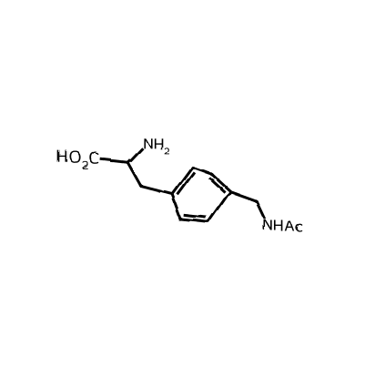 CC(=O)NCc1ccc(CC(N)C(=O)O)cc1